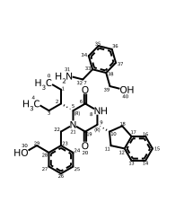 CCC(CC)[C@@H]1C(=O)N[C@H](C2Cc3ccccc3C2)C(=O)N1Cc1ccccc1CO.NCc1ccccc1CO